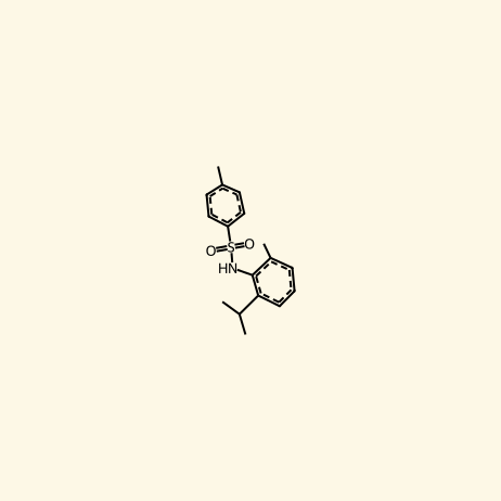 Cc1ccc(S(=O)(=O)Nc2c(C)cccc2C(C)C)cc1